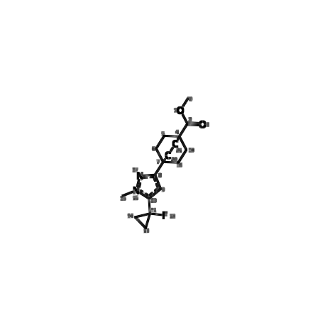 COC(=O)C12CCC(c3cc(C4(F)CC4)n(C)n3)(CC1)CC2